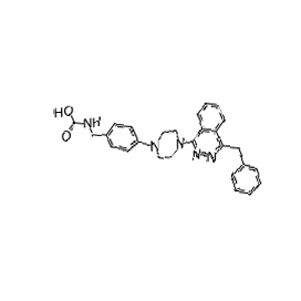 O=C(O)NCc1ccc(N2CCN(c3nnc(Cc4ccccc4)c4ccccc34)CC2)cc1